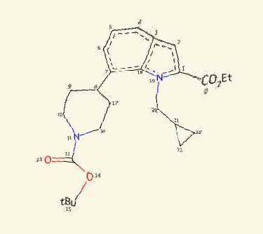 CCOC(=O)c1cc2cccc(C3CCN(C(=O)OC(C)(C)C)CC3)c2n1CC1CC1